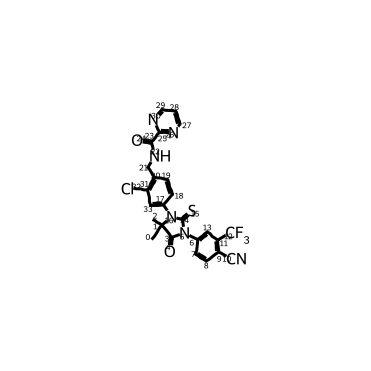 CC1(C)C(=O)N(c2ccc(C#N)c(C(F)(F)F)c2)C(=S)N1c1ccc(CNC(=O)c2ncccn2)c(Cl)c1